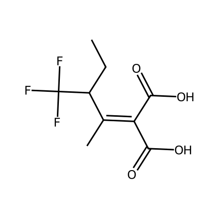 CCC(C(C)=C(C(=O)O)C(=O)O)C(F)(F)F